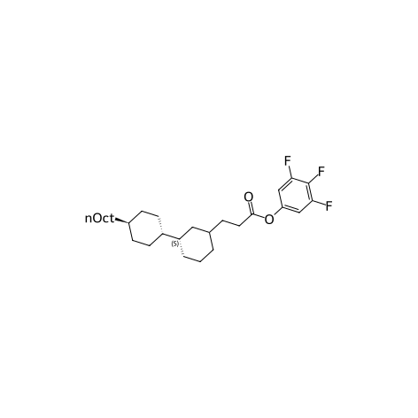 CCCCCCCC[C@H]1CC[C@H]([C@H]2CCCC(CCC(=O)Oc3cc(F)c(F)c(F)c3)C2)CC1